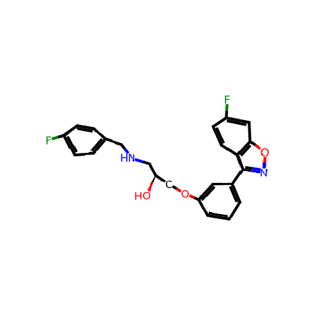 O[C@@H](CNCc1ccc(F)cc1)COc1cccc(-c2noc3cc(F)ccc23)c1